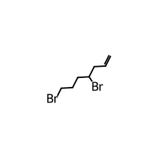 C=CCC(Br)CCCBr